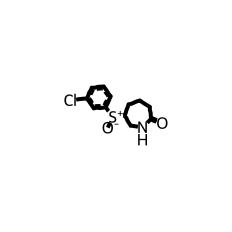 O=C1CCCC([S+]([O-])c2cccc(Cl)c2)CN1